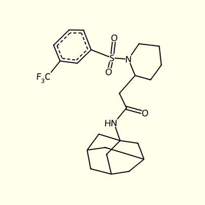 O=C(CC1CCCCN1S(=O)(=O)c1cccc(C(F)(F)F)c1)NC12CC3CC(CC(C3)C1)C2